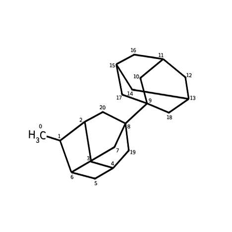 CC1C2CC3CC1CC(C14CC5CC(CC(C5)C1)C4)(C3)C2